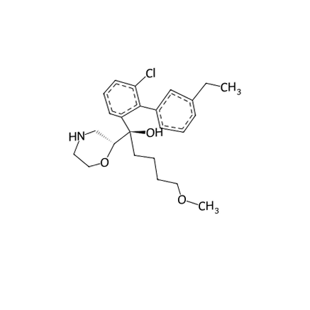 CCc1cccc(-c2c(Cl)cccc2[C@](O)(CCCCOC)[C@H]2CNCCO2)c1